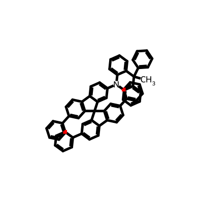 CC1(c2ccccc2)c2ccccc2N(c2ccc3c(c2)C2(c4cc(-c5ccccc5)ccc4-c4ccc(-c5ccccc5)cc42)c2cc(-c4ccccc4)ccc2-3)c2ccccc21